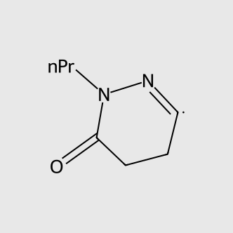 CCCN1N=[C]CCC1=O